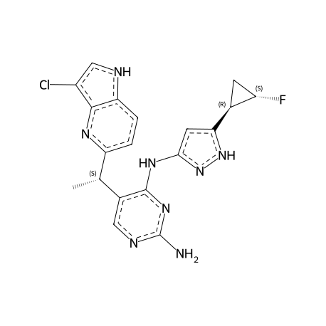 C[C@H](c1ccc2[nH]cc(Cl)c2n1)c1cnc(N)nc1Nc1cc([C@H]2C[C@@H]2F)[nH]n1